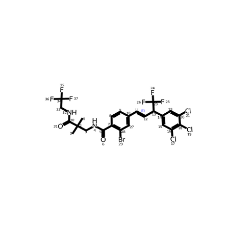 CC(C)(CNC(=O)c1ccc(/C=C/C(c2cc(Cl)c(Cl)c(Cl)c2)C(F)(F)F)cc1Br)C(=O)NCC(F)(F)F